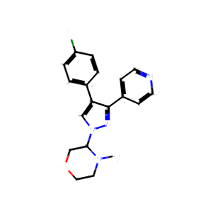 CCN1CCOCC1n1cc(-c2ccc(F)cc2)c(-c2ccncc2)n1